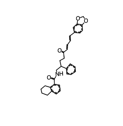 O=C(C=CC=Cc1ccc2c(c1)OCO2)CCC(CNC(=O)c1cccc2c1CCCC2)c1ccccc1